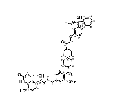 COc1cc(CNC[C@H](O)c2ccc(O)c3[nH]c(=O)ccc23)ccc1C(=O)N1CCC2(CCN(C(=O)COc3cccc([C@](O)(C(=O)O)c4ccccc4)c3)CC2)CC1